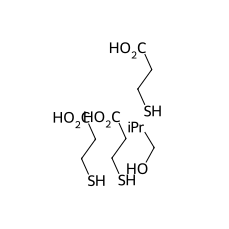 CC(C)CO.O=C(O)CCS.O=C(O)CCS.O=C(O)CCS